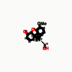 COc1ccc2c3c1OC1C(=O)C=CCC31CCC[C@@H](CO)C2